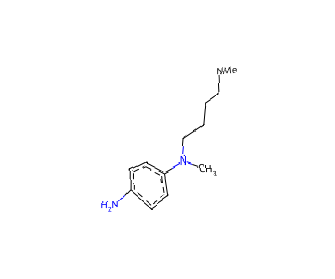 CNCCCCN(C)c1ccc(N)cc1